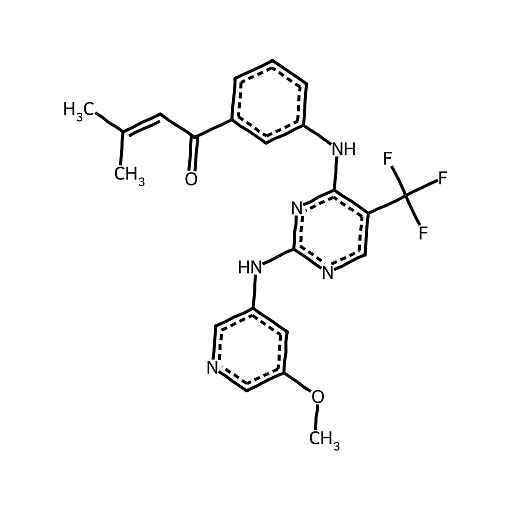 COc1cncc(Nc2ncc(C(F)(F)F)c(Nc3cccc(C(=O)C=C(C)C)c3)n2)c1